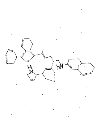 C/C(=C\CC(CNC1=CC2C=CCCC2CC1)C1=CC(C2C=CCN2)CC=C1)C1C=CC(C2C=CC=CC2)=C2C=CCCC21